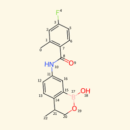 Cc1cc(F)ccc1C(=O)Nc1ccc2c(c1)B(O)OCC2C